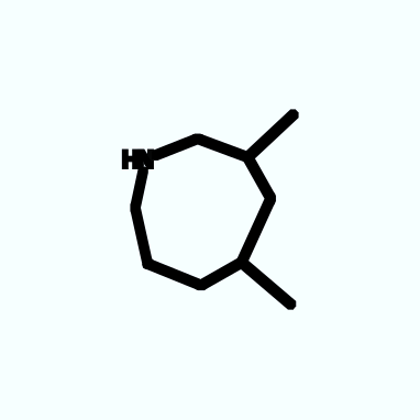 CC1CCCNCC(C)C1